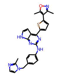 Cc1noc(C)c1-c1ccc(-c2nc(Nc3ccc(Cn4ccnc4C)cc3)nc3[nH]ccc23)s1